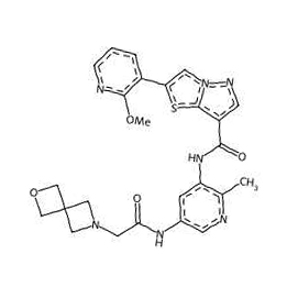 COc1ncccc1-c1cn2ncc(C(=O)Nc3cc(NC(=O)CN4CC5(COC5)C4)cnc3C)c2s1